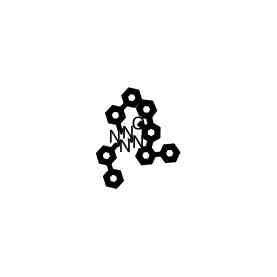 c1ccc(-c2cccc(-c3nc(-c4cccc(-c5ccccc5)c4)nc(-n4c5cccc(-c6ccccc6)c5c5ccc6c7ccccc7oc6c54)n3)c2)cc1